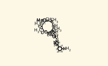 B[C@@H]1[C@@H](C)C(=O)[C@@H](C)C(=O)O[C@H](CC)[C@@](C)(OC#C)[C@H](NC/C=C/Cn2cc(-c3cccc(N)c3)nn2)[C@@H](C)NC[C@H](C)C[C@@]1(C)OC